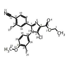 CCOC(=O)c1nc(-c2ccc(C#N)c(F)c2)n(-c2ccc(OC)c(F)c2)c1Cl